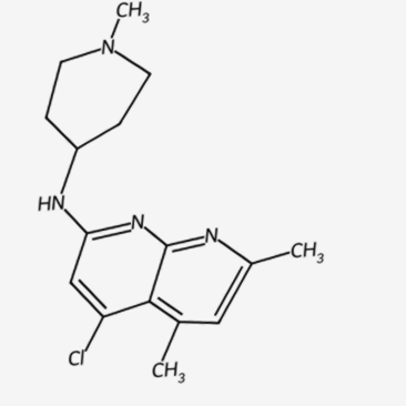 Cc1cc(C)c2c(Cl)cc(NC3CCN(C)CC3)nc2n1